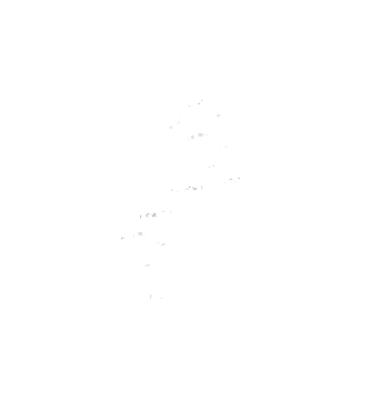 CCCCCCCCC(CNCCNC(=O)OCCO)Cc1ccccc1